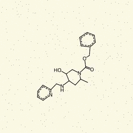 CC1CC(NCc2ccccn2)C(O)CN1C(=O)OCc1ccccc1